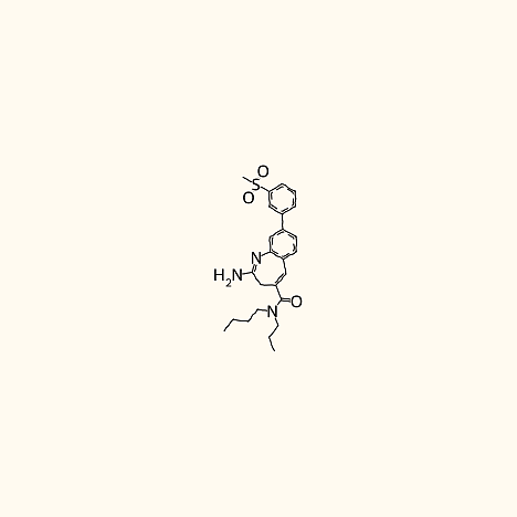 CCCCN(CCC)C(=O)C1=Cc2ccc(-c3cccc(S(C)(=O)=O)c3)cc2N=C(N)C1